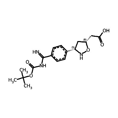 CC(C)(C)OC(=O)NC(=N)c1ccc([C@@H]2C[C@H](CC(=O)O)ON2)cc1